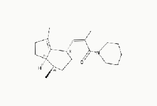 CC(=C[C@@H]1CC[C@@H](C)[C@H]2CCC(C)=C12)C(=O)N1CCCCC1